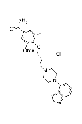 COc1cc(C(N)=O)cc(C)c1OCCCN1CCN(c2cccc3sccc23)CC1.Cl